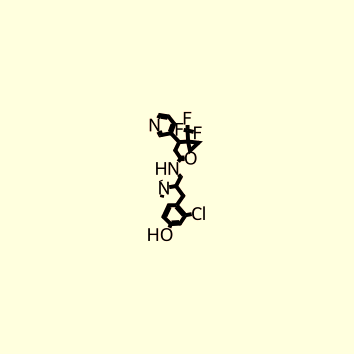 CN(C)C(CNC(=O)CC(c1cccnc1)C1(C(F)(F)F)CC1)Cc1ccc(O)cc1Cl